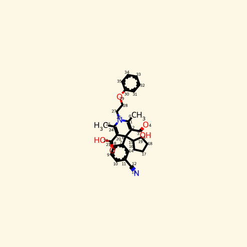 CC1=C(C(=O)O)C(c2cccc(C#N)c2)(C2CCCC2)C(C(=O)O)=C(C)N1CCOc1ccccc1